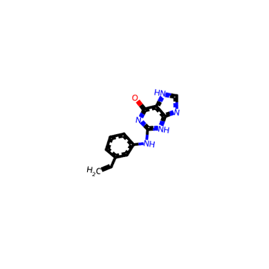 C=Cc1cccc(Nc2nc(=O)c3[nH]cnc3[nH]2)c1